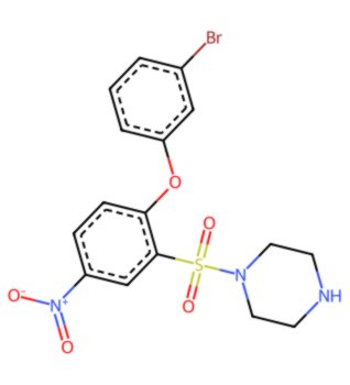 O=[N+]([O-])c1ccc(Oc2cccc(Br)c2)c(S(=O)(=O)N2CCNCC2)c1